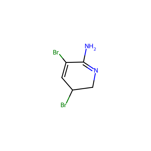 NC1=NCC(Br)C=C1Br